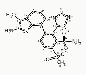 Cn1c(N)nc2c(-c3ccc(S(C)(=O)=O)c(S(N)(=O)=O)c3-c3nn[nH]n3)cccc21